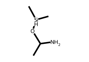 CC(N)O[SiH](C)C